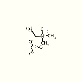 C[N+](C)(C)CCl.[Cd].[O-][Cl+2]([O-])[O-]